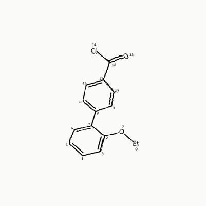 CCOc1ccccc1-c1ccc(C(=O)Cl)cc1